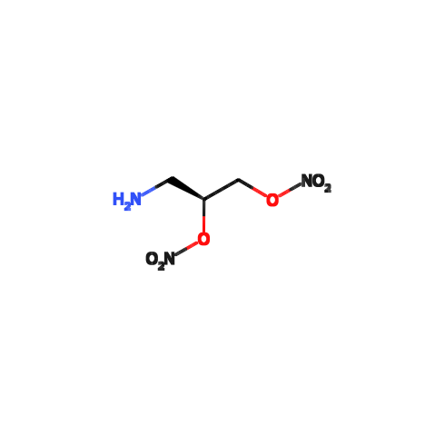 NC[C@@H](CO[N+](=O)[O-])O[N+](=O)[O-]